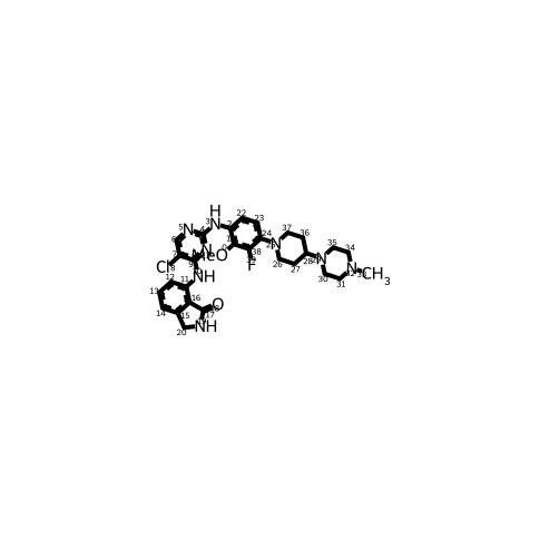 COc1c(Nc2ncc(Cl)c(Nc3cccc4c3C(=O)NC4)n2)ccc(N2CCC(N3CCN(C)CC3)CC2)c1F